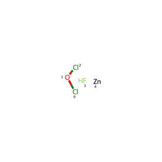 ClOCl.F.[Zn]